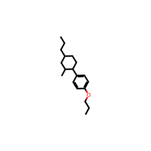 CCCOc1ccc(C2CCC(CCC)CC2C)cc1